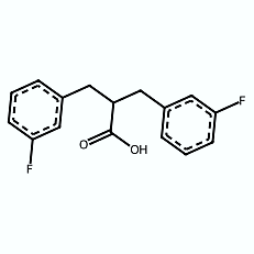 O=C(O)C(Cc1cccc(F)c1)Cc1cccc(F)c1